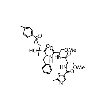 COC[C@H](NC(=O)c1cnc(C)s1)C(=O)N[C@H](COC)C(=O)N[C@@H](Cc1ccccc1)C(=O)C(C)(O)COS(=O)c1ccc(C)cc1